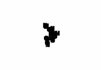 Cc1ccc(C(=O)NCc2ccccc2N2CCN(C)CC2)cc1NC(=O)c1cnc2cc(-c3ccnn3C)ccn12